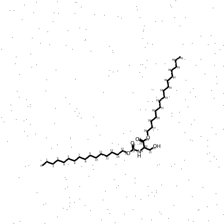 CCCCCCCCCCCCCCCCOC(=O)NC(CO)C(=O)OCCCCCCCCCCCCCCCC